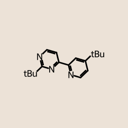 CC(C)(C)c1ccnc(-c2ccnc(C(C)(C)C)n2)c1